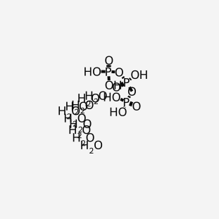 O.O.O.O.O.O.O.O.O.O.O=P(O)(O)OP(=O)(O)OP(=O)(O)O